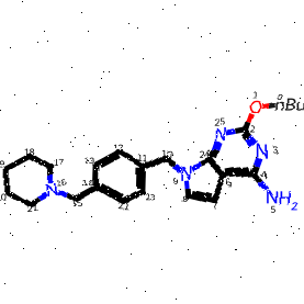 CCCCOc1nc(N)c2ccn(Cc3ccc(CN4CCCCC4)cc3)c2n1